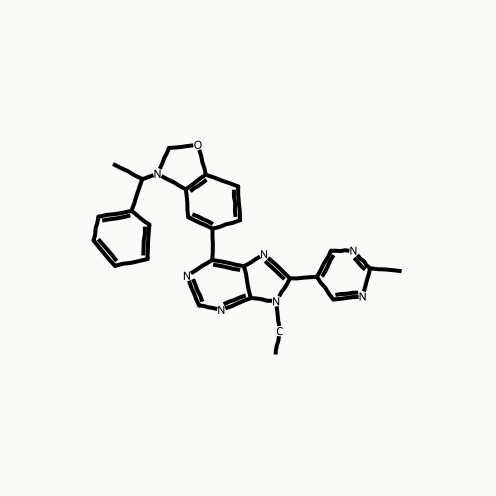 CCn1c(-c2cnc(C)nc2)nc2c(-c3ccc4c(c3)N(C(C)c3ccccc3)CO4)ncnc21